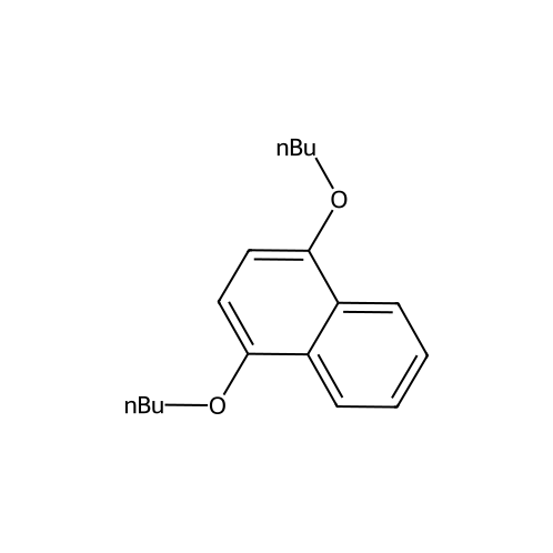 CCCCOc1ccc(OCCCC)c2ccccc12